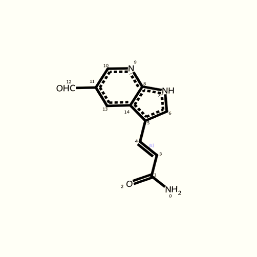 NC(=O)/C=C/c1c[nH]c2ncc(C=O)cc12